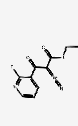 CCOC(=O)C(=[N+]=[N-])C(=O)c1cccnc1F